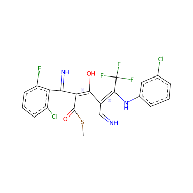 CSC(=O)/C(C(=N)c1c(F)cccc1Cl)=C(O)\C(C=N)=C(\Nc1cccc(Cl)c1)C(F)(F)F